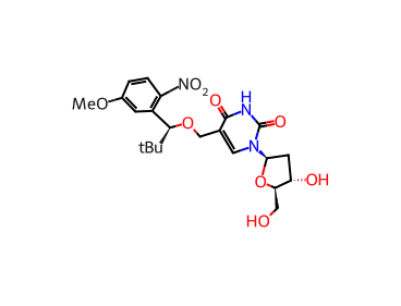 COc1ccc([N+](=O)[O-])c([C@@H](OCc2cn([C@H]3C[C@H](O)[C@@H](CO)O3)c(=O)[nH]c2=O)C(C)(C)C)c1